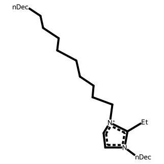 CCCCCCCCCCCCCCCCCCC[n+]1ccn(CCCCCCCCCC)c1CC